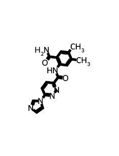 Cc1cc(NC(=O)c2ccc(-n3ccnc3)nn2)c(C(N)=O)cc1C